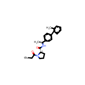 Cc1ccccc1-c1ccc([C@H](C)NC(=O)[C@@H]2CCCN2C(=O)CC(C)(C)C)cc1